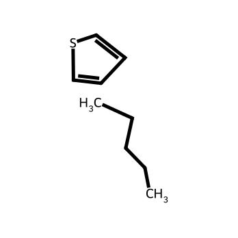 CCCCC.c1ccsc1